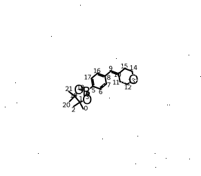 CC1(C)OB(c2ccc(C=C3CCOCC3)cc2)OC1(C)C